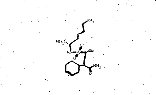 CC(C)(C)C(C(C(N)=O)C1CCCCC1)S(=O)(=O)N[C@@H](CCCCN)C(=O)O